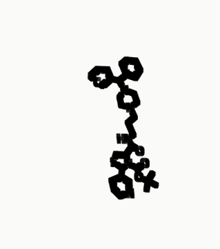 CC(C)(C)OC(=O)N1C(C(=O)NCCCN2CCN(C(c3ccccc3)c3ccccc3)CC2)=CSC1c1cccnc1